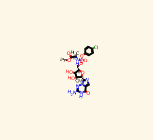 CC(C)OC(=O)[C@H](C)NP(=O)(OC[C@H]1O[C@@H](c2ncc3c(=O)[nH]c(N)nn23)[C@](C)(O)C1O)Oc1ccc(Cl)cc1